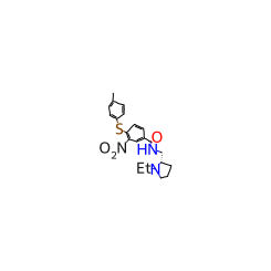 CCN1CCC[C@H]1CNC(=O)c1ccc(Sc2ccc(C)cc2)c([N+](=O)[O-])c1